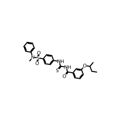 CCC(C)Oc1cccc(C(=O)NC(=S)Nc2ccc(S(=O)(=O)N(C)c3ccccc3)cc2)c1